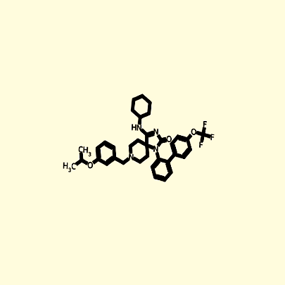 CC(C)Oc1cccc(CN2CCC3(CC2)C(NC2CCCCC2)=NC(=O)N3c2ccccc2-c2ccc(OC(F)(F)F)cc2)c1